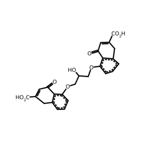 O=C(O)C1=CC(=O)c2c(cccc2OCC(O)COc2cccc3c2C(=O)C=C(C(=O)O)C3)C1